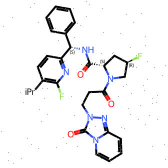 CC(C)c1ccc([C@@H](NC(=O)[C@@H]2C[C@@H](F)CN2C(=O)CCn2nc3ccccn3c2=O)c2ccccc2)nc1F